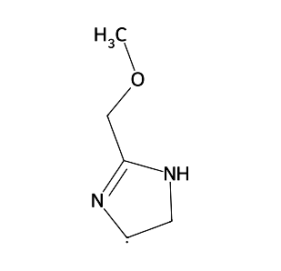 COCC1=N[CH]CN1